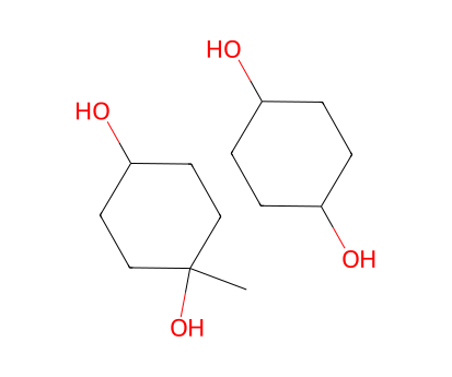 CC1(O)CCC(O)CC1.OC1CCC(O)CC1